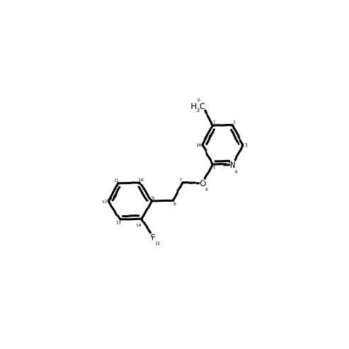 Cc1ccnc(OCCc2ccccc2F)c1